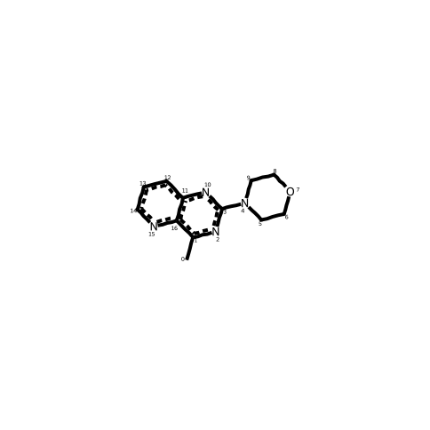 Cc1nc(N2CCOCC2)nc2cccnc12